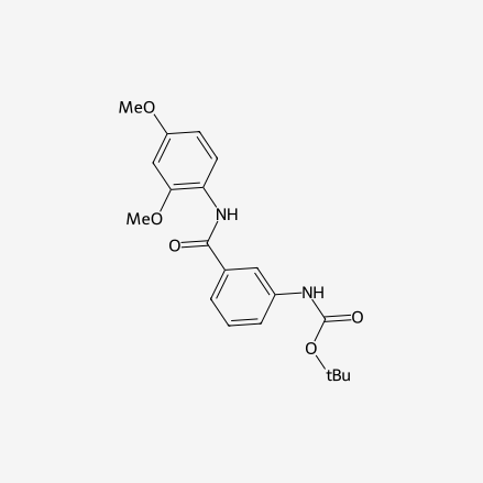 COc1ccc(NC(=O)c2cccc(NC(=O)OC(C)(C)C)c2)c(OC)c1